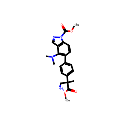 CN(C)c1c(-c2ccc(C(C)(CN)C(=O)OC(C)(C)C)cc2)ccc2c1cnn2C(=O)OC(C)(C)C